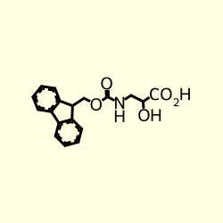 O=C(NCC(O)C(=O)O)OCC1c2ccccc2-c2ccccc21